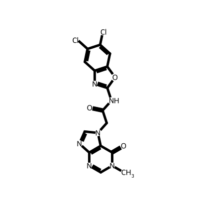 Cn1cnc2ncn(CC(=O)Nc3nc4cc(Cl)c(Cl)cc4o3)c2c1=O